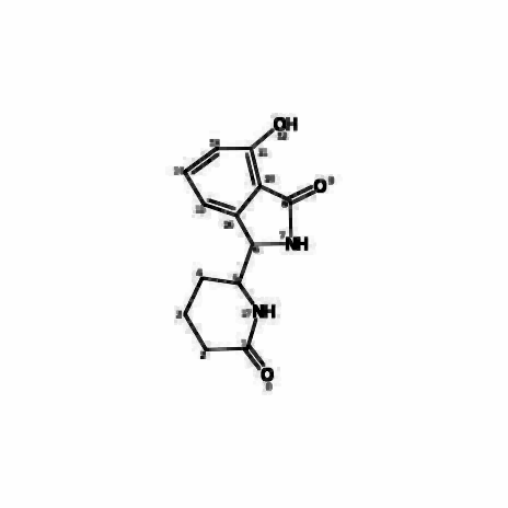 O=C1CCCC(C2NC(=O)c3c(O)cccc32)N1